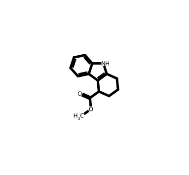 COC(=O)C1CCCc2[nH]c3ccccc3c21